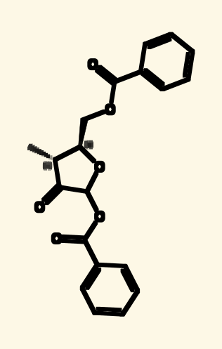 C[C@H]1C(=O)C(OC(=O)c2ccccc2)O[C@@H]1COC(=O)c1ccccc1